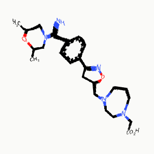 CC1CN(C(=N)c2ccc(C3=NOC(CN4CCCN(CC(=O)O)CC4)C3)cc2)CC(C)O1